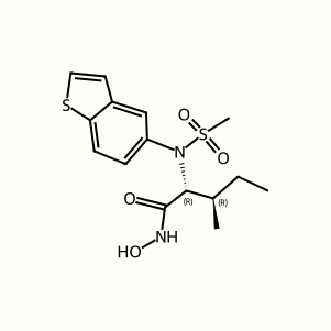 CC[C@@H](C)[C@H](C(=O)NO)N(c1ccc2sccc2c1)S(C)(=O)=O